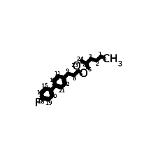 CCCCC1COC(CCc2ccc(-c3ccc(F)cc3)cc2)OC1